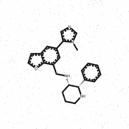 Cn1cncc1-c1cc(CN[C@H]2CCCN[C@H]2c2ccccc2)c2occc2c1